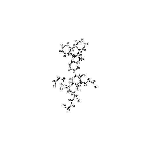 C=c1c(-c2ccc3c(c2)nc2c4ccccc4c4ccccc4n32)cc2c(C(C)C/C=C\C)cc(/C(C)=C/C=C\C)cc2/c1=C/C=C\C